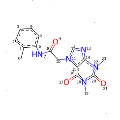 Cc1ccccc1NC(=O)Cn1cnc2c1c(=O)n(C)c(=O)n2C